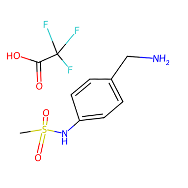 CS(=O)(=O)Nc1ccc(CN)cc1.O=C(O)C(F)(F)F